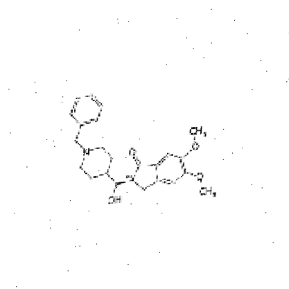 COc1cc2c(cc1OC)C(=O)[C@H](C(O)C1CCN(Cc3ccccc3)CC1)C2